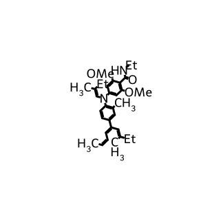 C\C=C/C=C(\C=C(/C)CC)c1ccc(N(/C=C(/C)CC)c2cc(OC)c(C(=O)NCC)c(OC)c2)c(C)c1